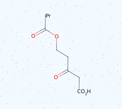 CC(C)C(=O)OCCC(=O)CC(=O)O